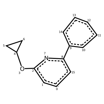 [c]1cc(OC2CC2)nc(-c2ccccc2)c1